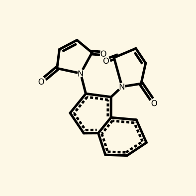 O=C1C=CC(=O)N1c1ccc2ccccc2c1N1C(=O)C=CC1=O